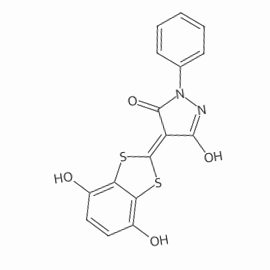 O=C1C(=C2Sc3c(O)ccc(O)c3S2)C(O)=NN1c1ccccc1